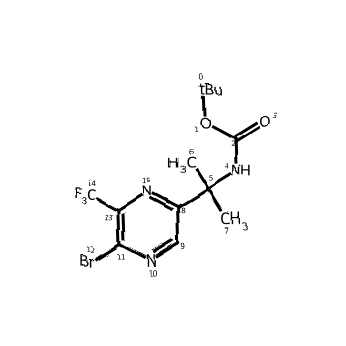 CC(C)(C)OC(=O)NC(C)(C)c1cnc(Br)c(C(F)(F)F)n1